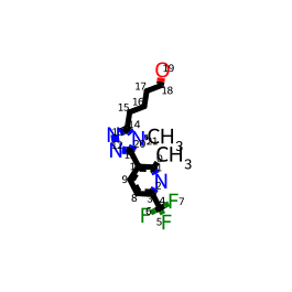 Cc1nc(C(F)(F)F)ccc1-c1nnc(CCCC=O)n1C